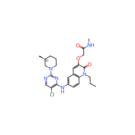 CCCn1c(=O)c(OCC(=O)NC)cc2cc(Nc3nc(N4CCC[C@H](C)C4)ncc3Cl)ccc21